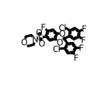 O=S(=O)(c1cc2c(cc1F)OC(c1cc(F)c(F)cc1Cl)(c1cc(F)c(F)cc1Cl)O2)N1CCOCC1